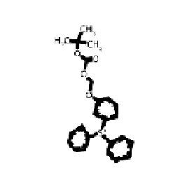 CC(C)(C)OC(=O)OCOc1cccc([S+](c2ccccc2)c2ccccc2)c1